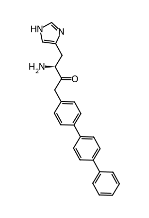 N[C@@H](Cc1c[nH]cn1)C(=O)Cc1ccc(-c2ccc(-c3ccccc3)cc2)cc1